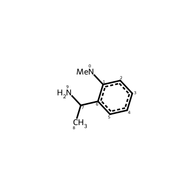 CNc1ccccc1C(C)N